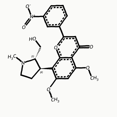 COc1cc(OC)c2c(=O)cc(-c3cccc([N+](=O)[O-])c3)oc2c1[C@H]1CCN(C)[C@@H]1CO